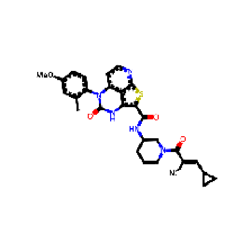 COc1ccc(N2C(=O)Nc3c(C(=O)NC4CCCN(C(=O)/C(C#N)=C/C5CC5)C4)sc4nccc2c34)c(C)c1